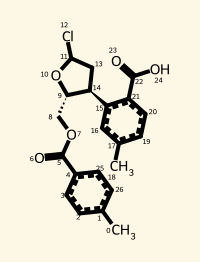 Cc1ccc(C(=O)OC[C@@H]2OC(Cl)C[C@H]2c2cc(C)ccc2C(=O)O)cc1